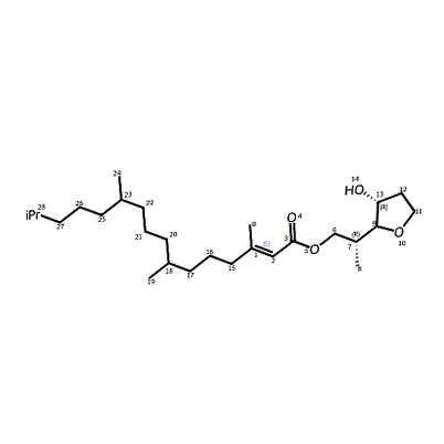 C/C(=C\C(=O)OC[C@@H](C)C1OCC[C@H]1O)CCCC(C)CCCC(C)CCCC(C)C